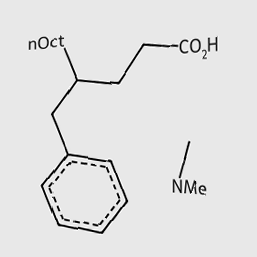 CCCCCCCCC(CCC(=O)O)Cc1ccccc1.CNC